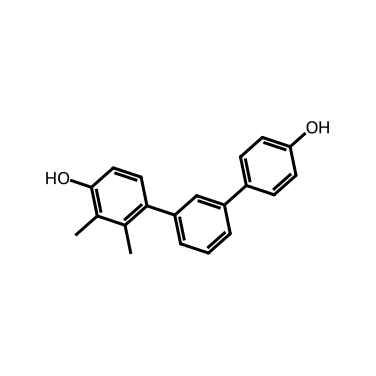 Cc1c(O)ccc(-c2cccc(-c3ccc(O)cc3)c2)c1C